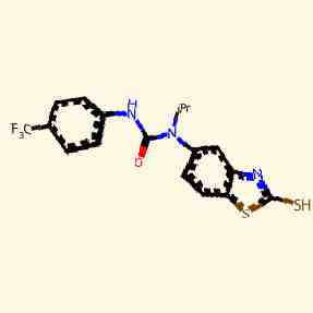 CC(C)N(C(=O)Nc1ccc(C(F)(F)F)cc1)c1ccc2sc(S)nc2c1